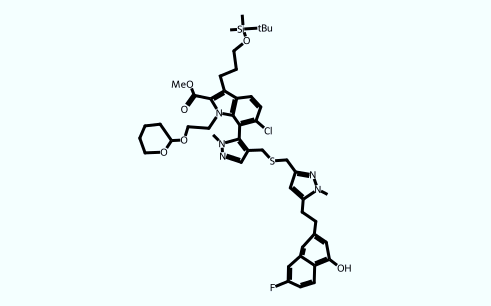 COC(=O)c1c(CCCO[Si](C)(C)C(C)(C)C)c2ccc(Cl)c(-c3c(CSCc4cc(CCc5cc(O)c6ccc(F)cc6c5)n(C)n4)cnn3C)c2n1CCOC1CCCCO1